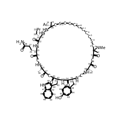 CN[C@]1(C)CSCCCCCCCSC[C@@](C)(C(C)=O)NN[C@@H](CC(C)C)C(=O)N[C@@H](CCC(N)=O)C(=O)CN[C@@H](C)C(=O)CC(=O)[C@H](Cc2c[nH]c3ccccc23)NC(=O)[C@H](Cc2ccc(O)cc2)NCN[C@@H](C)C(=O)CC1=O